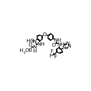 COC(=O)NC1Nc2cc(Oc3ccc(NC(=O)Nc4cc(C(F)(F)F)ccc4-n4cnnc4)cc3)ccc2N1O